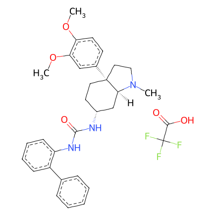 COc1ccc([C@@]23CC[C@@H](NC(=O)Nc4ccccc4-c4ccccc4)C[C@@H]2N(C)CC3)cc1OC.O=C(O)C(F)(F)F